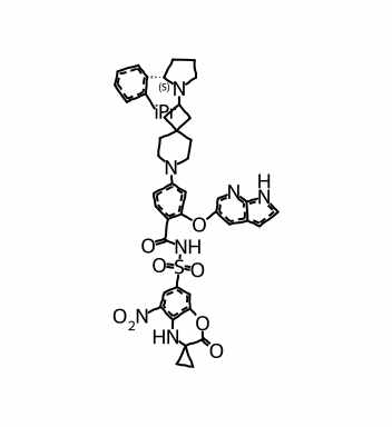 CC(C)c1ccccc1[C@@H]1CCCN1C1CC2(CCN(c3ccc(C(=O)NS(=O)(=O)c4cc5c(c([N+](=O)[O-])c4)NC4(CC4)C(=O)O5)c(Oc4cnc5[nH]ccc5c4)c3)CC2)C1